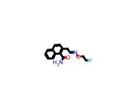 NC(=O)c1c(CC=NOCCF)ccc2ccccc12